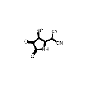 [C-]#[N+]C1C(=O)C(=O)NC1C(C#N)C#N